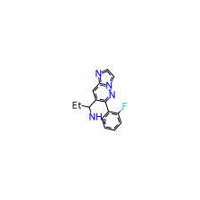 CCC(N)c1cc2nccn2nc1-c1ccccc1F